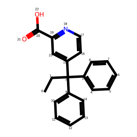 CCC(c1ccccc1)(c1ccccc1)c1ccnc(C(=O)O)c1